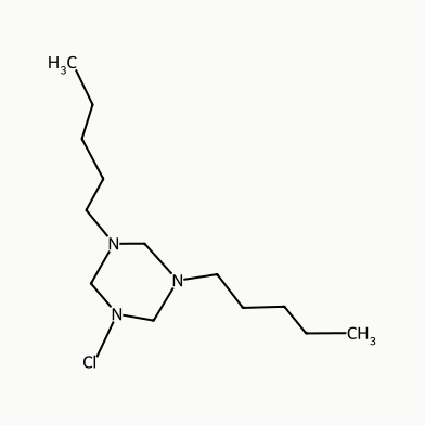 CCCCCN1CN(Cl)CN(CCCCC)C1